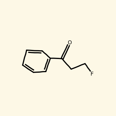 O=C(CCF)c1ccccc1